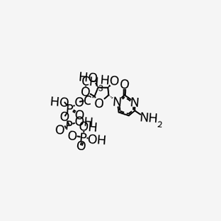 CO[C@]1(COP(=O)(O)OP(=O)(O)OP(=O)(O)O)O[C@@H](n2ccc(N)nc2=O)[C@H](O)[C@@H]1O